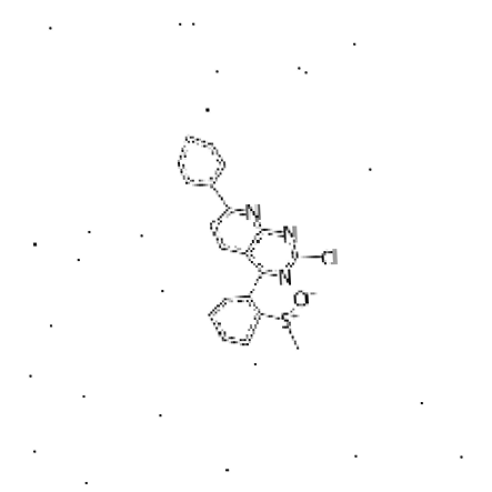 C[S+]([O-])c1ccccc1-c1nc(Cl)nc2nc(-c3ccccc3)ccc12